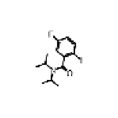 CC(C)N(C(=O)c1cc(F)ccc1I)C(C)C